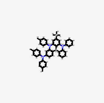 Cc1ccc(N(c2ccc(C)cc2)c2ccc3c(c2)N(c2ccc(C)cc2)c2cc([Si](C)(C)C)cc4c2B3c2ccccc2N4c2ccccc2)cc1